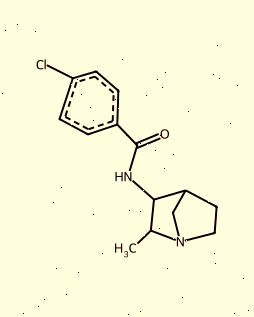 CC1C(NC(=O)c2ccc(Cl)cc2)C2CCN1C2